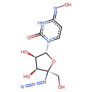 [N-]=[N+]=N[C@]1(CO)O[C@@H](n2ccc(=NO)[nH]c2=O)[C@H](O)[C@@H]1O